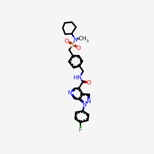 CN(C1CCCCC1)S(=O)(=O)Cc1ccc(CNC(=O)c2cncc3c2cnn3-c2ccc(F)cc2)cc1